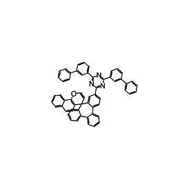 c1ccc(-c2cccc(-c3nc(-c4cccc(-c5ccccc5)c4)nc(-c4ccc5c(c4)C4(c6ccccc6Oc6c4ccc4ccccc64)c4ccccc4-c4ccccc4-5)n3)c2)cc1